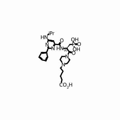 CC(C)Nc1cc(C(=O)N[C@@H](CP(=O)(O)O)C(=O)N2CCN(CCCCC(=O)O)CC2)nc(-c2ccccc2)n1